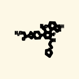 C=CC(=O)N1CC2(CCN(c3cc(NCCN4CCCC4)c(F)c(-c4c(C)ccc5[nH]ncc45)c3C#N)CC2)C1